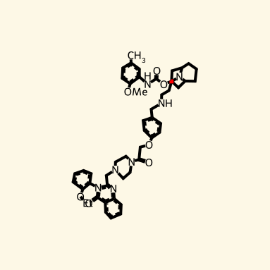 CCOc1ccccc1-n1c(CN2CCN(C(=O)COc3ccc(CNCCCN4C5CCCC4CC(OC(=O)Nc4cc(C)ccc4OC)C5)cc3)CC2)nc2ccccc2c1=O